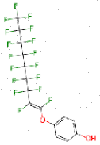 Oc1ccc(OC(F)=C(F)C(F)(F)C(F)(F)C(F)(F)C(F)(F)C(F)(F)C(F)(F)C(F)(F)F)cc1